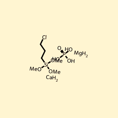 CO[Si](CCCCl)(OC)OC.O=P(O)(O)O.[CaH2].[MgH2]